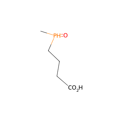 C[PH](=O)CCCC(=O)O